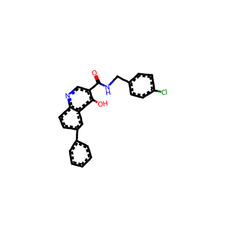 O=C(NCc1ccc(Cl)cc1)c1cnc2ccc(-c3ccccc3)cc2c1O